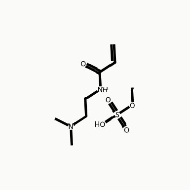 C=CC(=O)NCCN(C)C.COS(=O)(=O)O